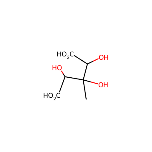 CC(O)(C(O)C(=O)O)C(O)C(=O)O